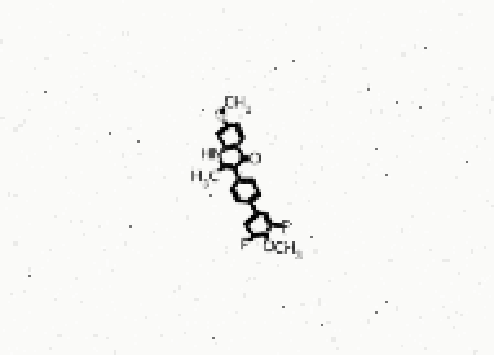 COc1ccc2c(=O)c(-c3ccc(-c4cc(F)c(OC)c(F)c4)cc3)c(C)[nH]c2c1